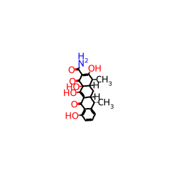 C[C@@H]1C(O)=C(C(N)=O)C(=O)[C@@]2(O)C(O)=C3C(=O)c4c(O)cccc4[C@@H](C)[C@H]3C[C@@H]12